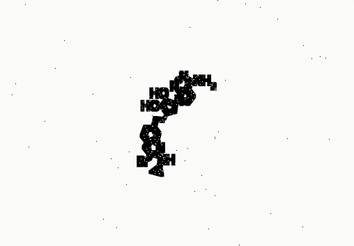 Nc1ncnc2c1ccn2[C@@H]1C[C@H](CCc2ccc3cc(Br)c(NC4CC4)nc3c2)[C@@H](O)[C@H]1O